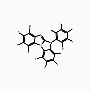 Fc1c(F)c(F)c(-n2c3c(F)c(F)c(F)c(F)c3n3c4c(F)c(F)c(F)c(F)c4nc23)c(F)c1F